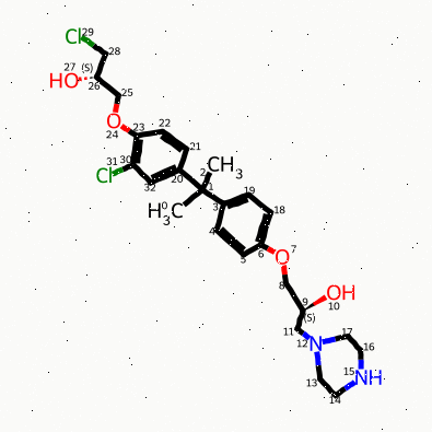 CC(C)(c1ccc(OC[C@@H](O)CN2CCNCC2)cc1)c1ccc(OC[C@H](O)CCl)c(Cl)c1